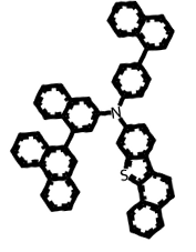 c1ccc2c(-c3ccc(N(c4cc(-c5cc6ccccc6c6ccccc56)c5ccccc5c4)c4ccc5c(c4)sc4c6ccccc6ccc54)cc3)cccc2c1